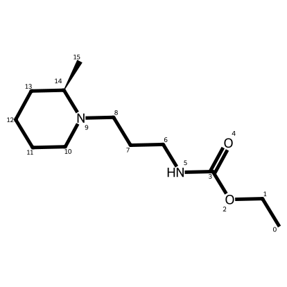 CCOC(=O)NCCCN1CCCC[C@H]1C